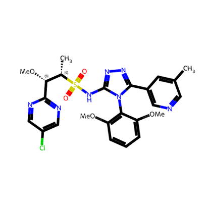 COc1cccc(OC)c1-n1c(NS(=O)(=O)[C@@H](C)[C@@H](OC)c2ncc(Cl)cn2)nnc1-c1cncc(C)c1